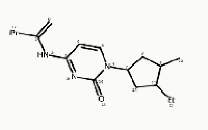 C=C(Nc1ccn(C2CC(C)C(CC)C2)c(=O)n1)C(C)C